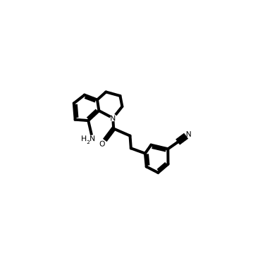 N#Cc1cccc(CCC(=O)N2CCCc3cccc(N)c32)c1